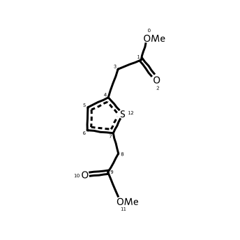 COC(=O)Cc1ccc(CC(=O)OC)s1